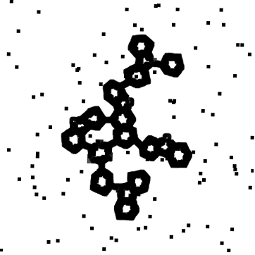 c1ccc(-n2c3ccccc3c3cc(-c4cccc5c4oc4cccc(-c6ccc7oc8cccc(-c9nc(-c%10cccc(-c%11ccc%12c(c%11)oc%11ccccc%11%12)c%10)nc(-c%10cccc(-n%11c%12ccccc%12c%12ccccc%12%11)c%10)n9)c8c7c6)c45)ccc32)cc1